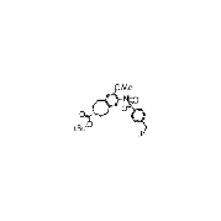 COc1cc2c(cc1NS(=O)(=O)c1ccc(CBr)cc1)CCN(C(=O)OC(C)(C)C)CC2